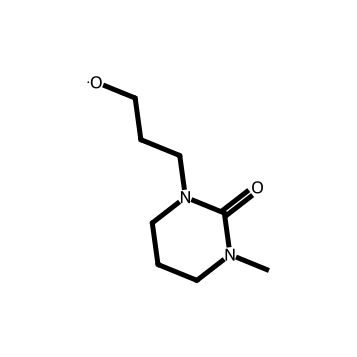 CN1CCCN(CCC[O])C1=O